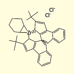 CC(C)(C)C1=Cc2c(ccc3ccccc23)[CH]1[Zr+2]1([CH]2C(C(C)(C)C)=Cc3c2ccc2ccccc32)[CH]2CCCC[CH]21.[Cl-].[Cl-]